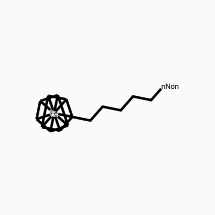 CCCCCCCCCCCCCC[C]12[CH]3[CH]4[CH]5[CH]1[Fe]45321678[CH]2[CH]1[CH]6[CH]7[CH]28